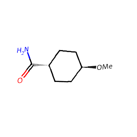 CO[C@H]1CC[C@H](C(N)=O)CC1